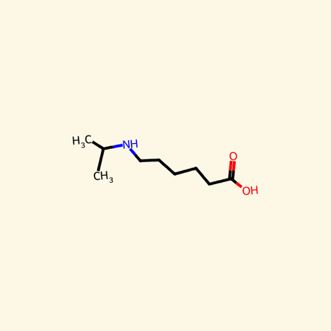 CC(C)NCCCCCC(=O)O